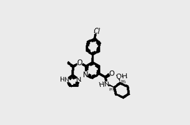 CC(Oc1ncc(C(=O)N[C@@H]2CCCC[C@H]2O)cc1-c1ccc(Cl)cc1)c1ncc[nH]1